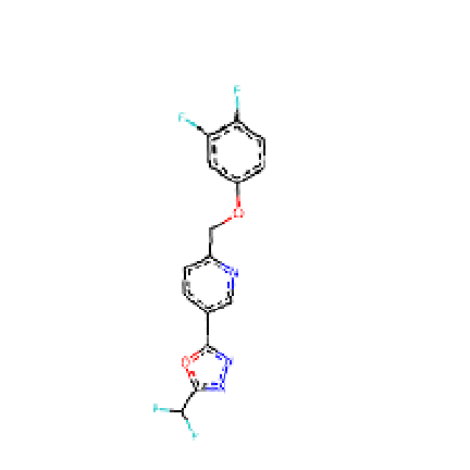 Fc1ccc(OCc2ccc(-c3nnc(C(F)F)o3)cn2)cc1F